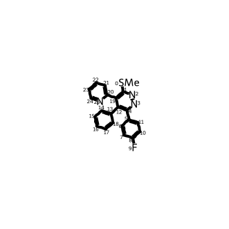 CSc1nnc(-c2ccc(F)cc2)c(-c2ccccc2)c1-c1ccccn1